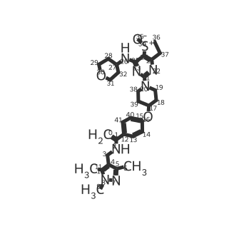 C=C(NCc1c(C)nn(C)c1C)c1ccc(OC2CCN(c3nc4c(c(NC5CCOCC5)n3)[S+]([O-])CC4)CC2)cc1